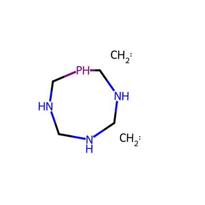 C1NCNCPCN1.[CH2].[CH2]